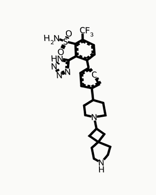 NS(=O)(=O)c1c(C(F)(F)F)ccc(-c2ccc(C3CCN(C4CC5(CCNCC5)C4)CC3)cc2)c1-c1nnn[nH]1